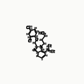 CCN(CC)c1cccc2nc(COc3ccc(Cl)cc3Cl)n(CCCO)c12